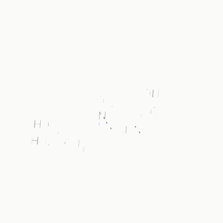 CC(C)(C)c1ccc(OC2(/N=N/c3ccccc3)C=C(C(=O)Nc3ccccc3)C(O)c3ccccc32)cc1